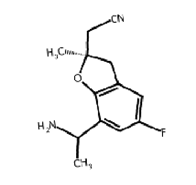 CC(N)c1cc(F)cc2c1O[C@@](C)(CC#N)C2